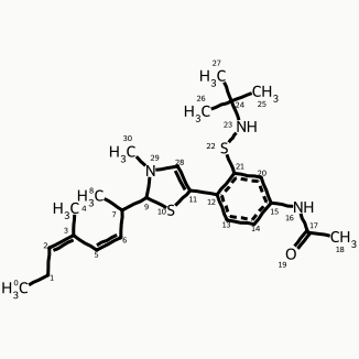 CC/C=C(C)\C=C/C(C)C1SC(c2ccc(NC(C)=O)cc2SNC(C)(C)C)=CN1C